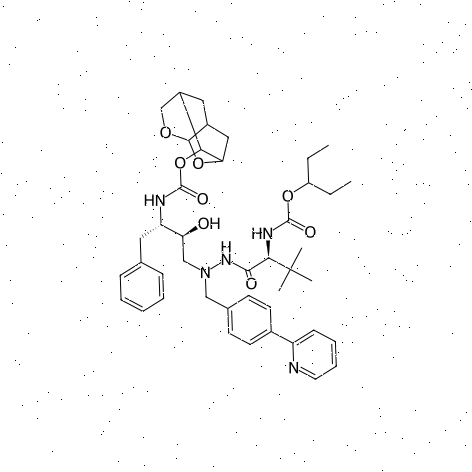 CCC(CC)OC(=O)N[C@H](C(=O)NN(Cc1ccc(-c2ccccn2)cc1)C[C@H](O)[C@H](Cc1ccccc1)NC(=O)OC1C2COC3OC1CC3C2)C(C)(C)C